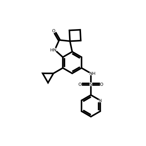 O=C1Nc2c(C3CC3)cc(NS(=O)(=O)c3ccccn3)cc2C12CCC2